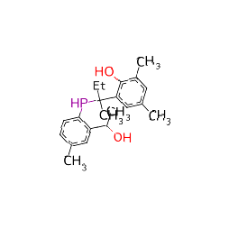 CCC(C)(Pc1ccc(C)cc1C(C)O)c1cc(C)cc(C)c1O